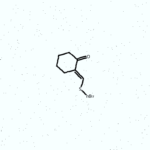 CCCCSC=C1CCCCC1=O